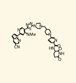 CNc1cc(-c2ccc3cc(C#N)cnn23)ncc1-c1nnc(N2CCN(CC3CCN(c4ccc(C(=O)NC5CCC(=O)NC5=O)nc4)CC3)CC2)s1